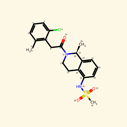 Cc1cccc(Cl)c1CC(=O)N1CCc2c(NS(C)(=O)=O)cccc2[C@@H]1C